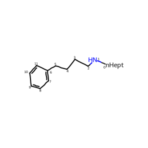 CCCCCCCNCCCCc1ccccc1